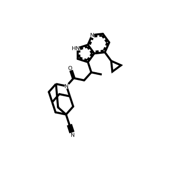 CC(CC(=O)N1C2CC3CC1CC(C#N)(C3)C2)c1c[nH]c2nccc(C3CC3)c12